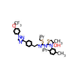 Cc1ccc(C(C)C)c(N2/C(=N/C(=N/CCc3ccc(-c4ncn(-c5ccc(OC(F)(F)F)cc5)n4)cc3)SCC(C)C)SCC2(C)O)c1